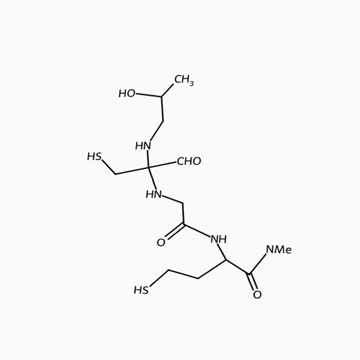 CNC(=O)C(CCS)NC(=O)CNC(C=O)(CS)NCC(C)O